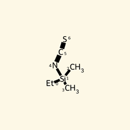 CC[Si](C)(C)N=C=S